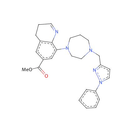 COC(=O)c1cc2c(c(N3CCCN(Cc4ccn(-c5ccccc5)n4)CC3)c1)N=CCC2